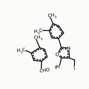 Cc1ccc(-c2nc(CI)c(C(C)C)o2)cc1C.Cc1ccc(C=O)cc1C